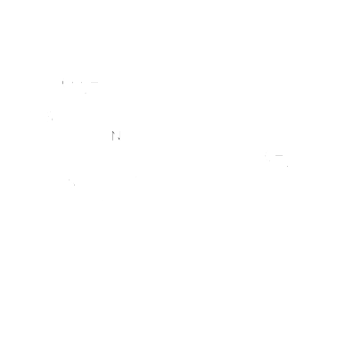 C=CCc1cccc2sc(SC(=O)O)nc12